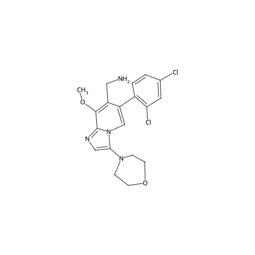 COc1c(CN)c(-c2ccc(Cl)cc2Cl)cn2c(N3CCOCC3)cnc12